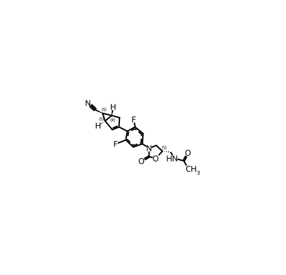 CC(=O)NC[C@H]1CN(c2cc(F)c(C3=C[C@H]4[C@@H](C#N)[C@@H]4C3)c(F)c2)C(=O)O1